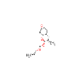 C=CCOCOC(=O)C(=C)CC1CCC2OC2C1